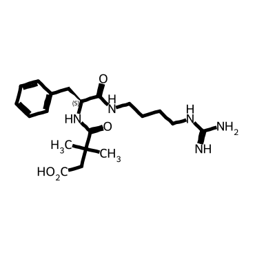 CC(C)(CC(=O)O)C(=O)N[C@@H](Cc1ccccc1)C(=O)NCCCCNC(=N)N